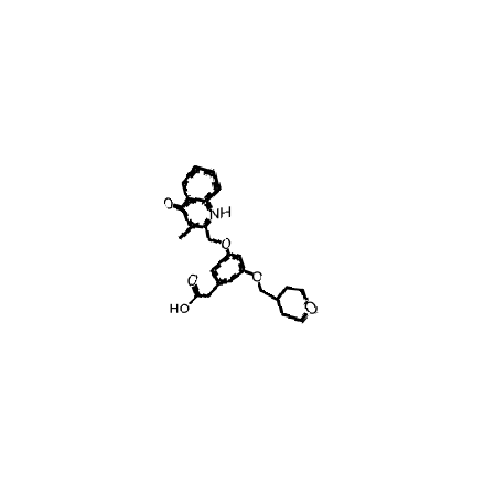 Cc1c(COc2cc(CC(=O)O)cc(OCC3CCOCC3)c2)[nH]c2ccccc2c1=O